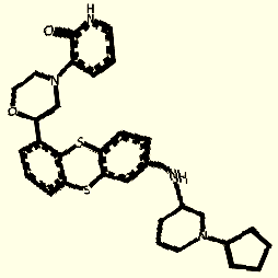 O=c1[nH]cccc1N1CCOC(c2cccc3c2Sc2ccc(NC4CCCN(C5CCCC5)C4)cc2S3)C1